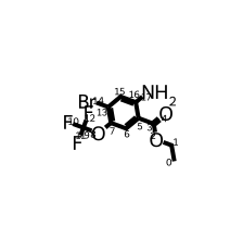 CCOC(=O)c1cc(OC(F)(F)F)c(Br)cc1N